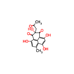 CC(=O)CC1(O)C(=O)c2c(O)cc(C)c3c(O)cc(O)c(c23)C1=O